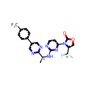 C[C@H](F)c1coc(=O)n1-c1ccnc(N[C@@H](C)c2ncc(-c3ccc(C(F)(F)F)cc3)cn2)n1